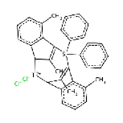 CC1=C2c3c(C)cccc3[CH]1[Ti+2][CH]1C(C)=C(c3c(C)cccc31)[Si]2(c1ccccc1)c1ccccc1.[Cl-].[Cl-]